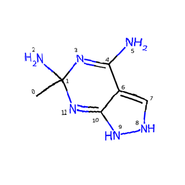 CC1(N)N=C(N)C2=CNNC2=N1